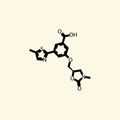 Cc1cnc(-c2cc(OC[C@H]3CN(C)C(=O)O3)cc(C(=O)O)c2)s1